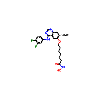 COc1cc2ncnc(Nc3ccc(F)c(F)c3)c2cc1OCCCCCCC(=O)NO